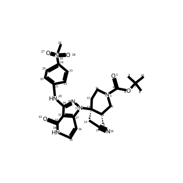 C[C@H]1CN(C(=O)OC(C)(C)C)CC[C@]1(CC#N)n1nc(Nc2ccc(S(C)(=O)=O)cc2)c2c(=O)[nH]ccc21